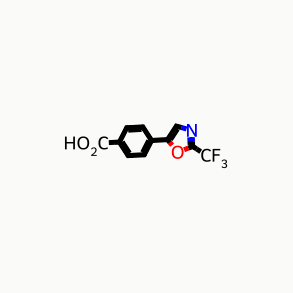 O=C(O)c1ccc(-c2cnc(C(F)(F)F)o2)cc1